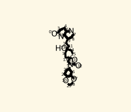 COc1ccc2nccc(CC[C@]3(O)CC[C@@]4(CC3)CN(c3ccc5c(c3)OCCO5)C(=O)O4)c2n1